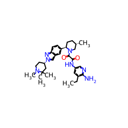 CCc1cc(NC(=O)C(=O)N2C[C@@H](C)CC[C@@H]2c2ccc3nn([C@H]4CCN(C)C(C)(C)C4)cc3c2)cnc1N